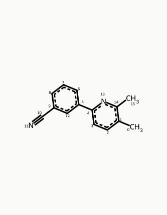 Cc1ccc(-c2cccc(C#N)c2)nc1C